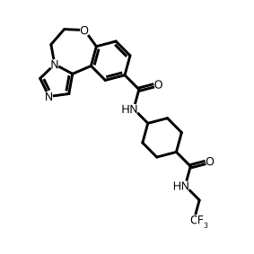 O=C(NC1CCC(C(=O)NCC(F)(F)F)CC1)c1ccc2c(c1)-c1cncn1CCO2